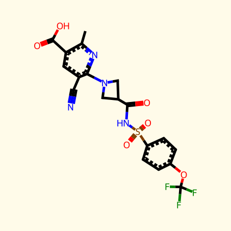 Cc1nc(N2CC(C(=O)NS(=O)(=O)c3ccc(OC(F)(F)F)cc3)C2)c(C#N)cc1C(=O)O